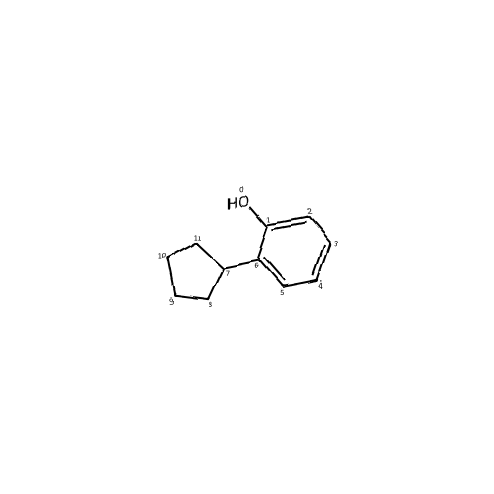 Oc1cc[c]cc1C1CCCC1